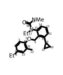 CCc1ccc(OCc2c(C3CC3)cccc2N(CC)C(=O)NC)c(C)c1